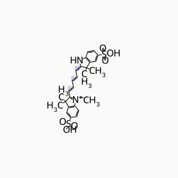 CC[N+]1=C(/C=C/C=C/C=C2/Nc3ccc(S(=O)(=O)O)cc3C2(C)C)C(C)(C)c2cc(S(=O)(=O)O)ccc21